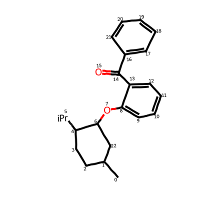 CC1CCC(C(C)C)C(Oc2ccccc2C(=O)c2ccccc2)C1